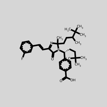 CC(CCC1(C)N=C(/C=C/c2cccc(F)c2)C(=O)N1[C@H](CCC(C)(C)C)c1ccc(C(=O)O)cc1)C(C)(C)C